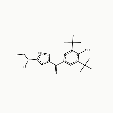 CC[S+]([O-])c1cc(C(=O)c2cc(C(C)(C)C)c(O)c(C(C)(C)C)c2)c[nH]1